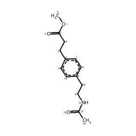 COC(=O)CCc1ccc(CCNC(C)=O)cc1